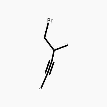 [CH2]C#CC(C)CBr